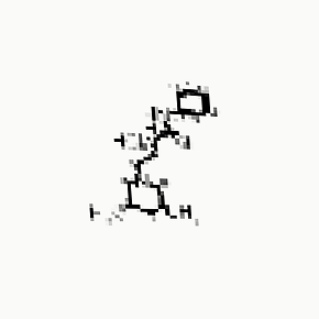 CC1CC(C)CN(CCNC(=O)Nc2ccccc2)C1.Cl